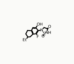 CCC1CCc2cc(O)c(N3CC(=O)N[S+]3[O-])c(F)c2C1